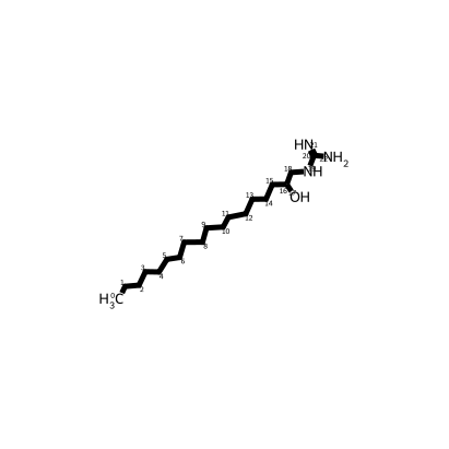 CCCCCCCCCCCCCCCCC(O)CNC(=N)N